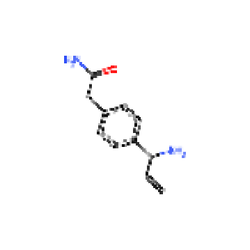 C=CC(N)c1ccc(CC(N)=O)cc1